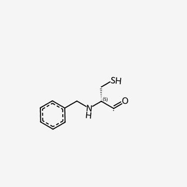 O=[C][C@@H](CS)NCc1ccccc1